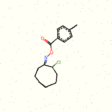 Cc1ccc(C(=O)ON=C2CCCCCCC2Cl)cc1